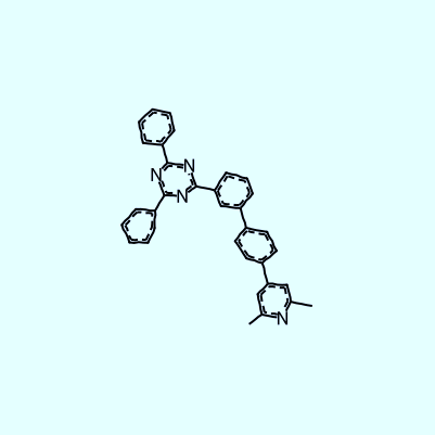 Cc1cc(-c2ccc(-c3cccc(-c4nc(-c5ccccc5)nc(-c5ccccc5)n4)c3)cc2)cc(C)n1